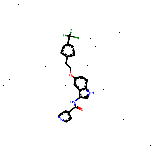 O=C(Nc1c[nH]c2ccc(OCCc3ccc(C(F)(F)F)cc3)cc12)c1ccncc1